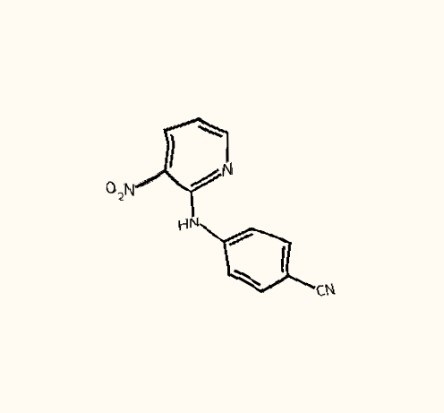 N#Cc1ccc(Nc2ncccc2[N+](=O)[O-])cc1